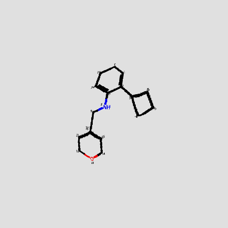 [CH]1C=C(C2CCC2)C(NCC2CCOCC2)=CC1